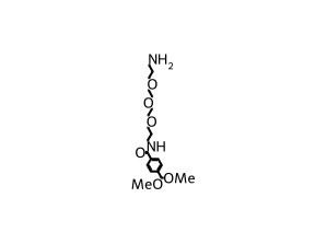 COC(OC)c1ccc(C(=O)NCCCOCCOCCOCCCN)cc1